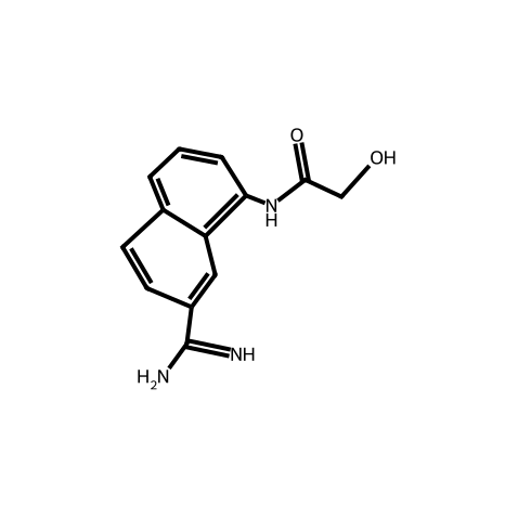 N=C(N)c1ccc2cccc(NC(=O)CO)c2c1